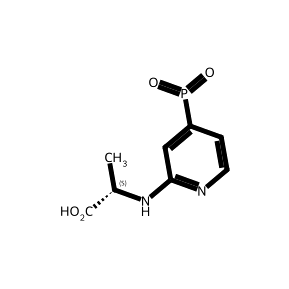 C[C@H](Nc1cc(P(=O)=O)ccn1)C(=O)O